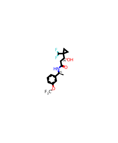 C[C@H](NC(=O)C[C@@H](O)C1(C(F)F)CC1)c1cccc(OC(F)(F)F)c1